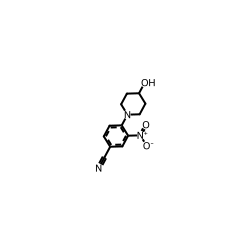 N#Cc1ccc(N2CCC(O)CC2)c([N+](=O)[O-])c1